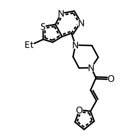 CCc1cc2c(N3CCN(C(=O)C=Cc4ccco4)CC3)ncnc2s1